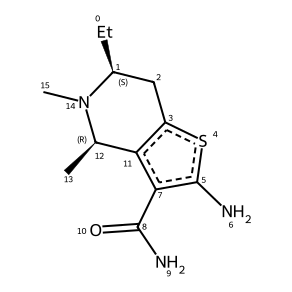 CC[C@H]1Cc2sc(N)c(C(N)=O)c2[C@@H](C)N1C